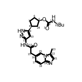 CC[C@H](C)NC(=O)O[C@@H]1CC[C@H](c2cc(NC(=O)Cc3ccc4ncc(C)n4c3)n[nH]2)C1